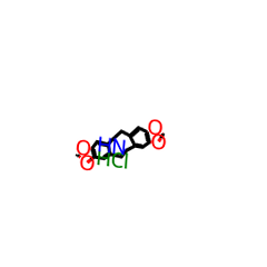 Cl.c1c2c(cc3c1OCO3)C1Cc3cc4c(cc3C(C2)N1)OCO4